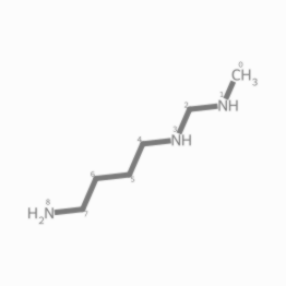 CNCNCCCCN